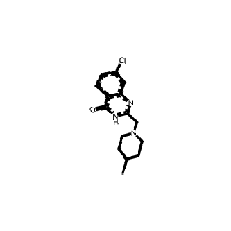 CC1CCN(Cc2nc3cc(Cl)ccc3c(=O)[nH]2)CC1